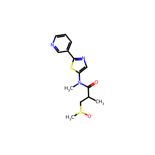 CC(C[S+](C)[O-])C(=O)N(C)c1cnc(-c2cccnc2)s1